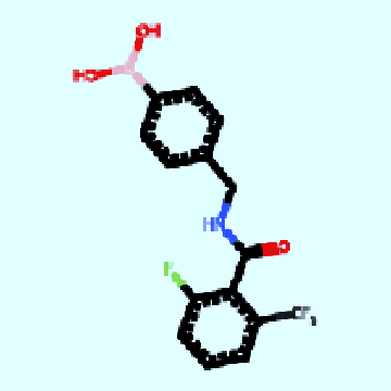 O=C(NCc1ccc(B(O)O)cc1)c1c(F)cccc1C(F)(F)F